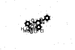 CC(C)(c1ccccc1NC(=O)CCc1oc(-c2ccccc2)nc1-c1ccc(Cl)c(Cl)c1)P(=O)(O)O